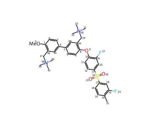 COc1ccc(-c2ccc(Oc3ccc(S(=O)(=O)c4ccc(C)c(F)c4)cc3F)c(C[N+](C)(C)C)c2)cc1C[N+](C)(C)C